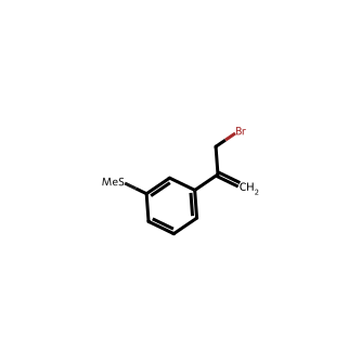 C=C(CBr)c1cccc(SC)c1